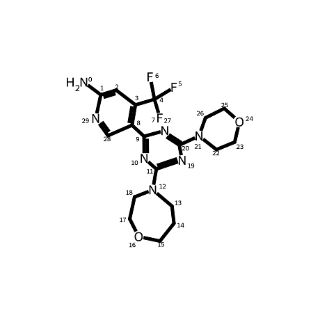 Nc1cc(C(F)(F)F)c(-c2nc(N3CCCOCC3)nc(N3CCOCC3)n2)cn1